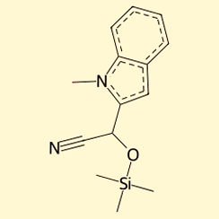 Cn1c(C(C#N)O[Si](C)(C)C)cc2ccccc21